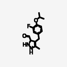 CC1=C(Cc2ccc(OC(C)C)c(F)c2)C(C=O)NN1